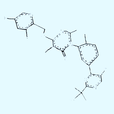 Cc1ccc(-c2nc(C(C)(C)O)ncc2F)cc1-n1c(C)nc(OCc2ncc(F)cc2F)c(C)c1=O